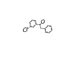 O=C(Cc1ccccc1)c1cccc(Cl)c1